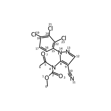 COC(=O)N(C(C)=O)c1c(C#N)cnn1-c1ccc(Cl)c(Cl)c1Cl